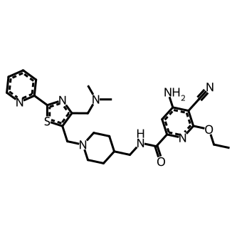 CCOc1nc(C(=O)NCC2CCN(Cc3sc(-c4ccccn4)nc3CN(C)C)CC2)cc(N)c1C#N